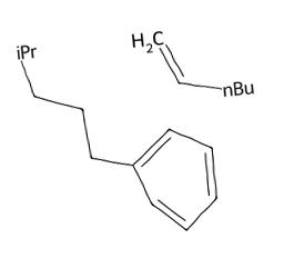 C=CCCCC.CC(C)CCCc1ccccc1